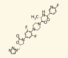 C[C@H](NC(=O)c1ccc(F)nc1)C(=O)N1CCN(c2c(F)cc(N3C[C@H](Cn4ccnn4)OC3=O)cc2F)CC1